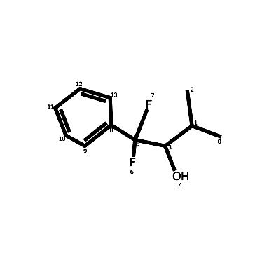 CC(C)C(O)C(F)(F)c1ccccc1